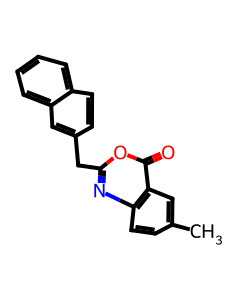 Cc1ccc2nc(Cc3ccc4ccccc4c3)oc(=O)c2c1